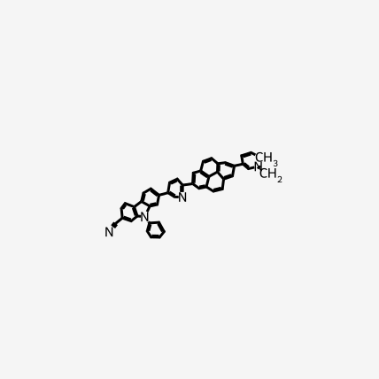 C=N/C=C(\C=C/C)c1cc2ccc3cc(-c4ccc(-c5ccc6c7ccc(C#N)cc7n(-c7ccccc7)c6c5)cn4)cc4ccc(c1)c2c34